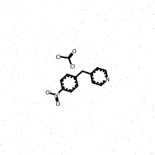 O=C(Cl)Cl.O=[N+]([O-])c1ccc(Cc2ccncc2)cc1